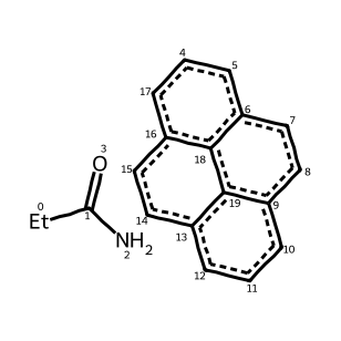 CCC(N)=O.c1cc2ccc3cccc4ccc(c1)c2c34